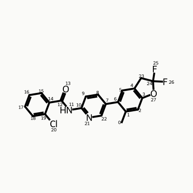 Cc1cc2c(cc1-c1ccc(NC(=O)c3ccccc3Cl)nc1)CC(F)(F)O2